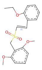 CCOc1ccccc1/C=C/S(=O)(=O)Cc1c(OC)cccc1OC